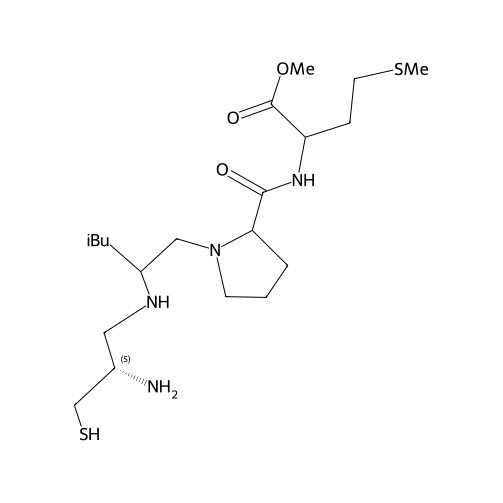 CCC(C)C(CN1CCCC1C(=O)NC(CCSC)C(=O)OC)NC[C@H](N)CS